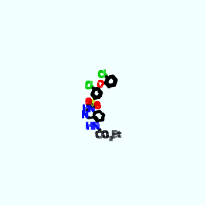 CCOC(=O)CNC1=C(/C=N\C)[C@H](NS(=O)(=O)c2ccc(Oc3ccccc3Cl)c(Cl)c2)CCC1